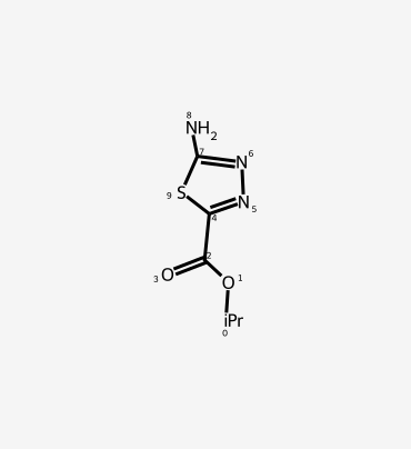 CC(C)OC(=O)c1nnc(N)s1